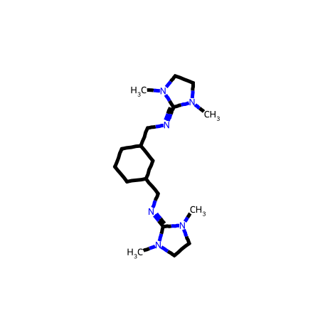 CN1CCN(C)C1=NCC1CCCC(CN=C2N(C)CCN2C)C1